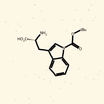 CC(C)(C)OC(=O)n1cc(C[C@@H](N)C(=O)O)c2ccccc21